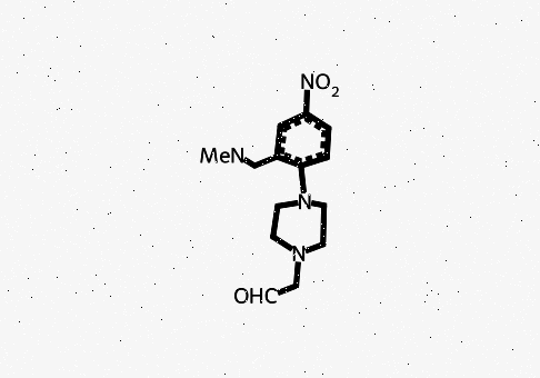 CNCc1cc([N+](=O)[O-])ccc1N1CCN(CC=O)CC1